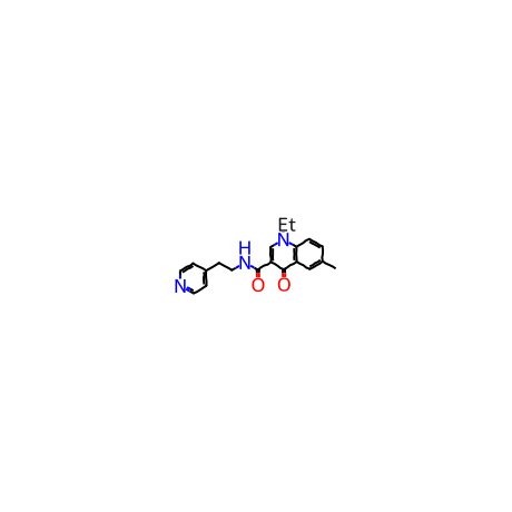 CCn1cc(C(=O)NCCc2ccncc2)c(=O)c2cc(C)ccc21